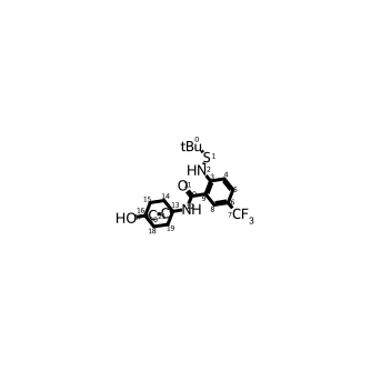 CC(C)(C)SNc1ccc(C(F)(F)F)cc1C(=O)NC12CCC(O)(CC1)CC2